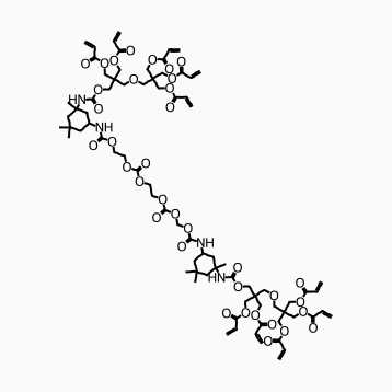 C=CC(=O)OCC(COCC(COC(=O)C=C)(COC(=O)C=C)COC(=O)NC1(C)CC(NC(=O)OCCOC(=O)OCCOC(=O)OCOC(=O)NC2CC(C)(C)CC(C)(NC(=O)OCC(COCC(COC(=O)C=C)(COC(=O)C=C)COC(=O)C=C)(COC(=O)C=C)COC(=O)C=C)C2)CC(C)(C)C1)(COC(=O)C=C)COC(=O)C=C